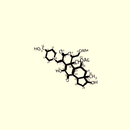 COCC1OC(=O)/C(=C\N2CCC(C(=O)O)CC2)C2=C(O)C(=O)C3=C(C(OC(C)=O)CC4(C)C(O)CCC34)C21C